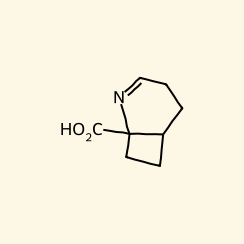 O=C(O)C12CCC1CCC=N2